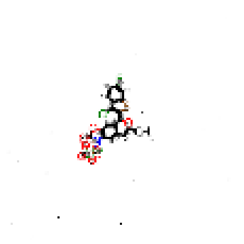 CC1=Cc2cc3c(cc2C(c2sc4cc(F)ccc4c2Cl)O1)oc(=O)n3O[Cl+3]([O-])([O-])[O-]